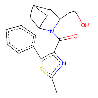 Cc1nc(C(=O)N2C(CO)CC3CC2C3)c(-c2ccccc2)s1